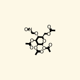 CC(=O)OC[C@H]1O[C@H](OC(C)=O)[C@@H](OC(C)=O)[C@@H](OC(C)=O)[C@@H]1OCN=O